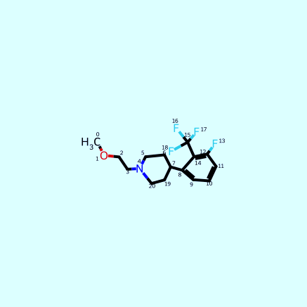 COCCN1CCC(c2cccc(F)c2C(F)(F)F)CC1